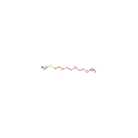 COCCOCCOCCSC